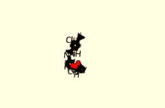 O=S(=O)(c1cc(-c2ncc(-c3ccc(C4CC4)c(Cl)c3)[nH]2)ccc1Cl)N1C2CC[C@@H]1C[C@H](O)C2